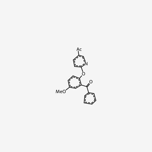 COc1ccc(Oc2ccc(C(C)=O)cn2)c(C(=O)c2ccccc2)c1